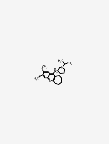 COc1cc2nc3c(c(N[C@@H]4CCCN(C(C)C)C4)c2cc1OC)CCCCC3